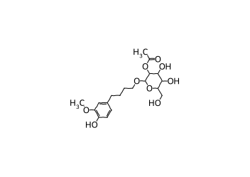 COc1cc(CCCCOC2OC(CO)C(O)C(O)C2OC(C)=O)ccc1O